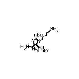 CCCCc1nc2c(N)nnc(OC(C)C)c2n1CCCCCN